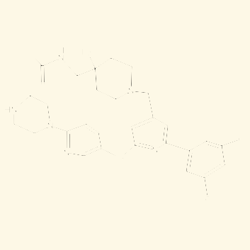 CC(=O)NCC1(O)CCN(Cc2cc(Oc3ccc(N4CCNCC4)nc3)nc(-c3cc(Cl)cc(Cl)c3)c2)CC1